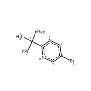 CCCCCCC(C)(CCC)c1ncc(CC)cn1